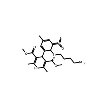 COC(=O)C1=C(C)NC(C)=C(C(=O)OC)C1C1=CC(C)=CC(=S(=O)=O)C1OCCCCN